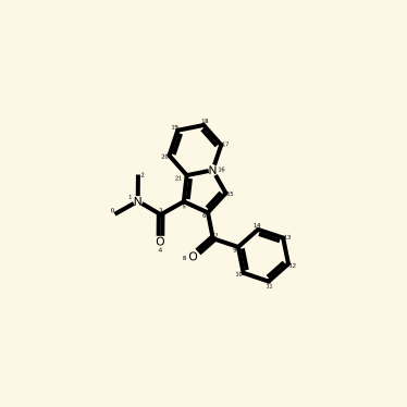 CN(C)C(=O)c1c(C(=O)c2ccccc2)cn2ccccc12